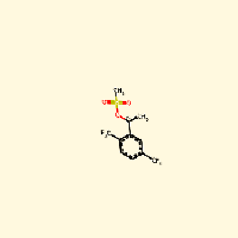 C[C@H](OS(C)(=O)=O)c1cc(C(F)(F)F)ccc1C(F)(F)F